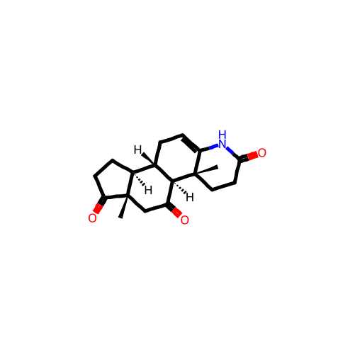 C[C@]12CCC(=O)NC1=CC[C@@H]1[C@@H]2C(=O)C[C@]2(C)C(=O)CC[C@@H]12